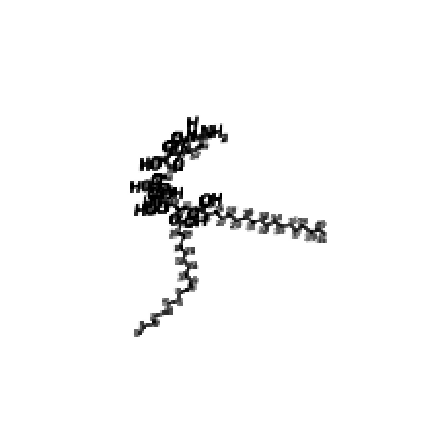 CCCCCCCC/C=C\CCCCCCCC(O)OC(COC(O)CCCCCCCCCCCCCCCCC)CO[PH](O)(O)OP(=O)(O)OC[C@H]1O[C@@H](N2C=CC(N)NC2=O)C(O)[C@H]1O